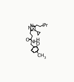 Cc1ccc(CNC(=O)CCc2nnc(CCC(C)C)n2C2CC2)c(O)c1